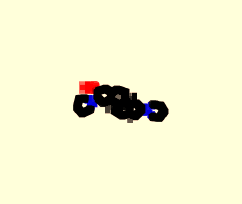 C[C@]12CC[C@@H]3[C@@H](CCC4CC(O)C(N5CCCCC5)C[C@@]43C)[C@@H]1CC(N1CCCCC1)C2